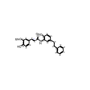 COc1cc(/C=C/C(=O)Nc2cc(CCc3ccccc3)ccc2C=O)ccc1O